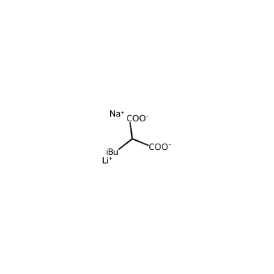 CCC(C)C(C(=O)[O-])C(=O)[O-].[Li+].[Na+]